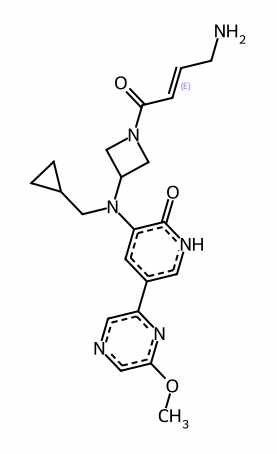 COc1cncc(-c2c[nH]c(=O)c(N(CC3CC3)C3CN(C(=O)/C=C/CN)C3)c2)n1